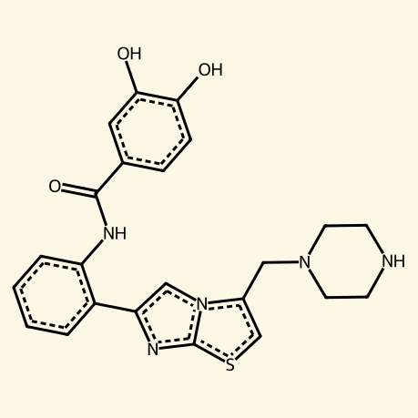 O=C(Nc1ccccc1-c1cn2c(CN3CCNCC3)csc2n1)c1ccc(O)c(O)c1